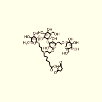 C[C@@H]1O[C@@H](CCCCN(CCCCCC(=O)ON2C(=O)CCC2=O)CCO[C@H]2O[C@H](CCO[C@H]3O[C@H](CO)[C@@H](O)[C@H](O)[C@@H]3O)[C@@H](O)[C@H](O[C@H]3O[C@H](CO)[C@@H](O)[C@H](O)[C@@H]3O)[C@@H]2O)[C@@H](O)[C@H](O)[C@@H]1O